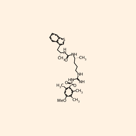 COc1cc(C)c(S(=O)(=O)NC(=N)NCCC[C@@H](C)NC(=O)N[C@H](C)Cc2csc3ccccc23)c(C)c1C